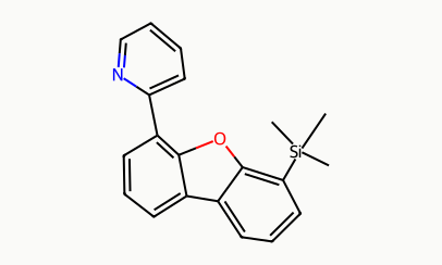 C[Si](C)(C)c1cccc2c1oc1c(-c3ccccn3)cccc12